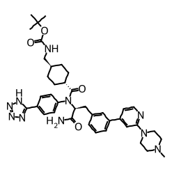 CN1CCN(c2cc(-c3cccc(C[C@@H](C(N)=O)N(c4ccc(-c5nnn[nH]5)cc4)C(=O)[C@H]4CC[C@H](CNC(=O)OC(C)(C)C)CC4)c3)ccn2)CC1